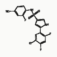 N#Cc1ccc(NS(=O)(=O)c2c[nH]c(-c3cc(Cl)c(F)cc3F)c2)c(F)c1